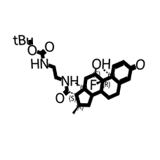 C[C@@H]1CC2C3CCC4=CC(=O)C=C[C@]4(C)[C@@]3(F)[C@@H](O)C[C@]2(C)[C@H]1C(=O)NCCNC(=O)OC(C)(C)C